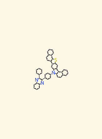 c1ccc(-c2nc3ccccc3nc2-c2ccc(-n3c4cc5c(cc4c4c6ccccc6ccc43)sc3c4ccccc4ccc53)cc2)cc1